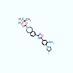 CC(C)(C)OC(=O)N1CCc2ccc(-c3noc(-c4ccc(N5CCC(F)C5)c(N)c4)n3)cc2CC1